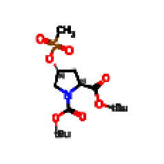 CC(C)(C)OC(=O)[C@@H]1C[C@@H](OS(C)(=O)=O)CN1C(=O)OC(C)(C)C